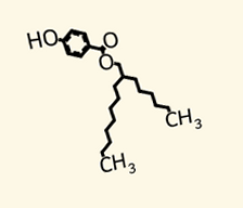 CCCCCCCCC(CCCCCC)COC(=O)c1ccc(O)cc1